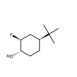 CC(C)(C)[C@H]1CC[C@H](O)[C@@H](F)C1